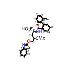 CSC(COc1nc2ccccc2s1)CC(NC(=O)c1ccccc1-c1ccccc1C)C(=O)O